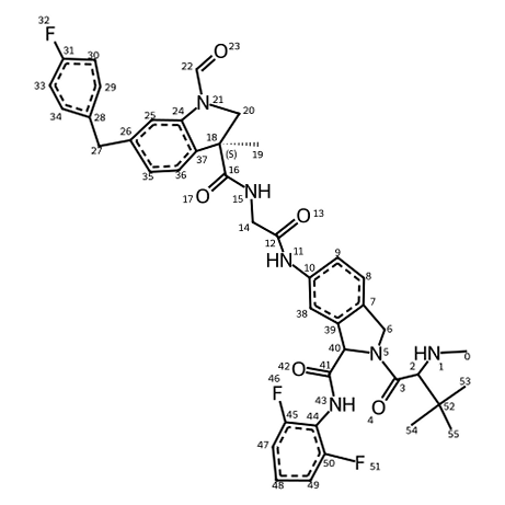 CNC(C(=O)N1Cc2ccc(NC(=O)CNC(=O)[C@]3(C)CN(C=O)c4cc(Cc5ccc(F)cc5)ccc43)cc2C1C(=O)Nc1c(F)cccc1F)C(C)(C)C